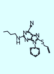 C=CCSc1nc2c(C#N)nc(NCCCC)nc2n1-c1ccccc1